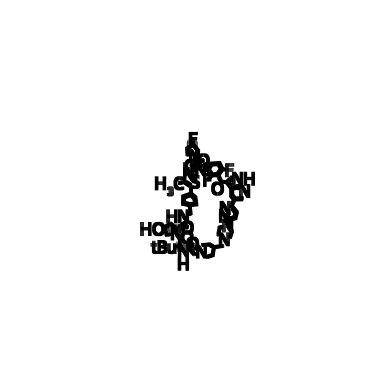 Cc1ncsc1-c1ccc(CNC(=O)[C@@H]2C[C@@H](O)CN2C(=O)[C@@H](NC(=O)CN2CCC(CN3CCN(c4ccc(-c5cnc6[nH]cc(C(=O)c7c(F)ccc(NS(=O)(=O)N8CC[C@@H](F)C8)c7F)c6c5)nn4)CC3)CC2)C(C)(C)C)cc1